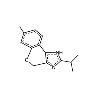 Cc1ccc2c(c1)OCc1nc(C(C)C)[nH]c1-2